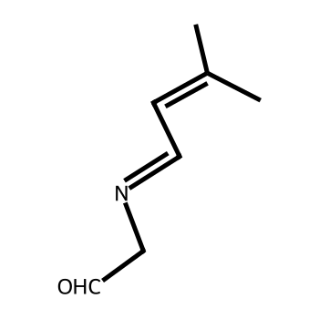 CC(C)=C/C=N/CC=O